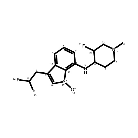 CN1CCC(Nc2cccc3c(CC(F)F)c[s+]([O-])c23)C(F)C1